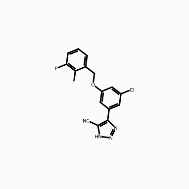 N#Cc1[nH]nnc1-c1cc(Cl)cc(OCc2cccc(F)c2F)c1